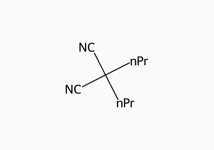 CCCC(C#N)(C#N)CCC